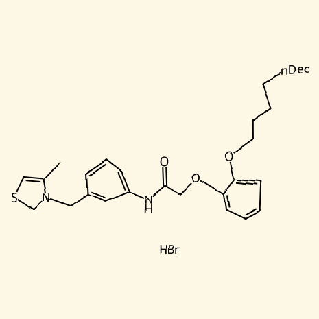 Br.CCCCCCCCCCCCCCOc1ccccc1OCC(=O)Nc1cccc(CN2CSC=C2C)c1